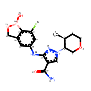 C[C@H]1CCOC[C@@H]1n1cc(C(N)=O)c(Nc2cc(F)c3c(c2)COB3O)n1